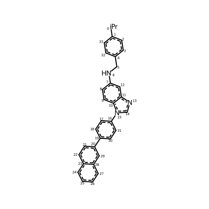 CC(C)c1ccc(CNc2ccc3c(c2)ncn3-c2ccc(-c3ccc4ccccc4c3)cc2)cc1